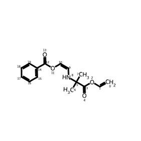 C=COC(=O)C(C)(C)N/C=C\OC(=O)c1ccccc1